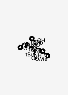 COC(=O)N[C@H](C(=O)N[C@H](Cc1ccc(-c2ccccn2)cc1)C[C@H](OP(=O)(O)O)[C@H](Cc1ccccc1)NC(=O)[C@@H](N1CCN(Cc2ccccc2)C1=O)C(C)(C)C)C(C)(C)C